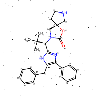 CC(C)(C)[C@H](c1nc(-c2ccccc2)c(Cc2ccccc2)[nH]1)N1C[C@]2(CCNC2)OC1=O